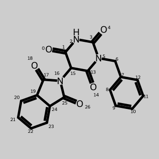 O=C1NC(=O)N(Cc2ccccc2)C(=O)C1N1C(=O)c2ccccc2C1=O